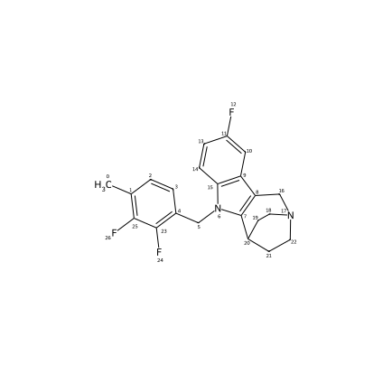 Cc1ccc(Cn2c3c(c4cc(F)ccc42)CN2CCC3CC2)c(F)c1F